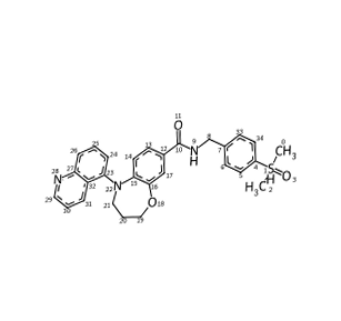 C[SH](C)(=O)c1ccc(CNC(=O)c2ccc3c(c2)OCCCN3c2cccc3ncccc23)cc1